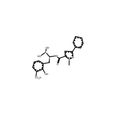 Cn1nc(-c2ccccc2)cc1C(=O)N[C@@H](Cc1cccc(C(=O)O)c1O)B(O)O